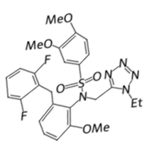 CCn1nnnc1CN(c1c(Cc2c(F)cccc2F)cccc1OC)S(=O)(=O)c1ccc(OC)c(OC)c1